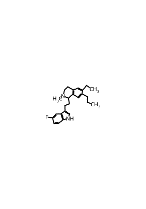 CCCc1cc2c(cc1CC)CCN(C)C2CCc1c[nH]c2ccc(F)cc12